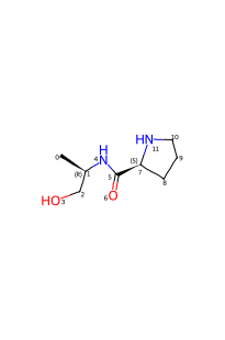 C[C@H](CO)NC(=O)[C@@H]1CCCN1